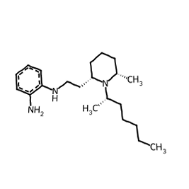 CCCCC[C@H](C)N1[C@H](CCNc2ccccc2N)CCC[C@@H]1C